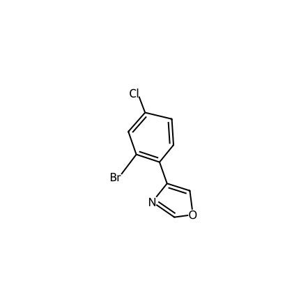 Clc1ccc(-c2cocn2)c(Br)c1